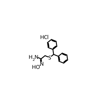 Cl.NC(CSC(c1ccccc1)c1ccccc1)=NO